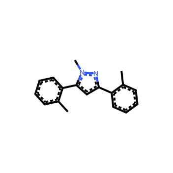 Cc1ccccc1-c1cc(-c2ccccc2C)n(C)n1